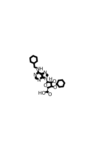 O=C(O)[C@H]1O[C@@H](n2cnc3c(NCC4CCCCC4)ncnc32)[C@H]2OC3(CCCCC3)OC12